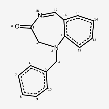 O=C1CN(Cc2ccccc2)c2ccccc2C=N1